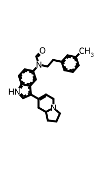 Cc1cccc(CCN(C=O)c2ccc3[nH]cc(C4=CCN5CCCC5C4)c3c2)c1